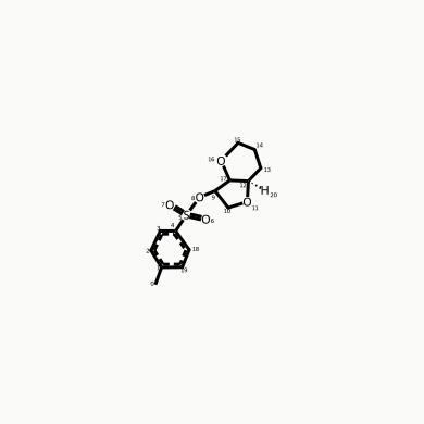 Cc1ccc(S(=O)(=O)OC2CO[C@@H]3CCCOC23)cc1